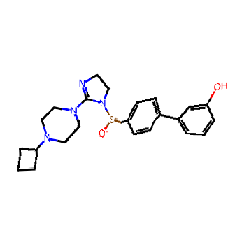 [O-][S+](c1ccc(-c2cccc(O)c2)cc1)N1CCN=C1N1CCN(C2CCC2)CC1